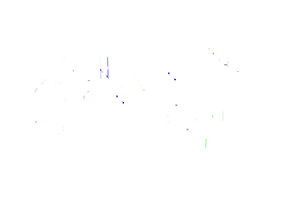 CC(C)(C)[Si](C)(C)OC1CCN(C(c2ccc(Cl)c(Cl)c2)c2cnc(NC(=O)C3(c4ccc5c(c4)OCO5)CC3)s2)C1